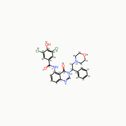 O=C(Nc1cccc2ncn(C(CN3CCOCC3)c3ccccc3)c(=O)c12)c1cc(Cl)c(O)c(Cl)c1